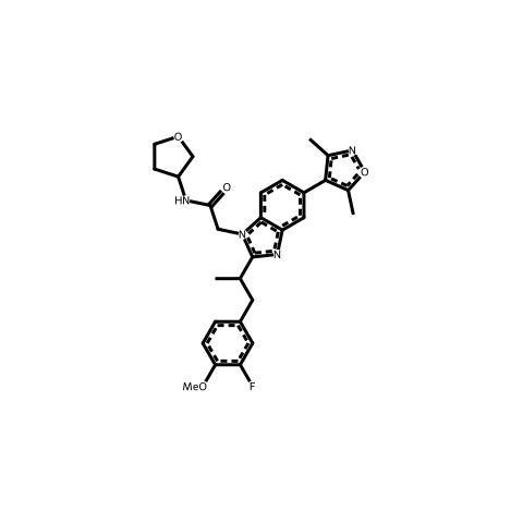 COc1ccc(CC(C)c2nc3cc(-c4c(C)noc4C)ccc3n2CC(=O)NC2CCOC2)cc1F